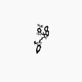 CCN1/C(=C/C=C/C2=[N+](C)c3ccc4ccccc4c3C2(C)Cc2cc([N+](=O)[O-])ccc2O)Oc2ccccc21